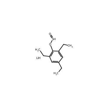 CCc1cc(CC)c(O[SH]=O)c(CC)c1.[LiH]